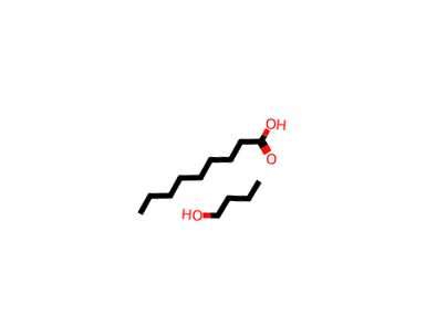 CCCCCCCCC(=O)O.CCCCO